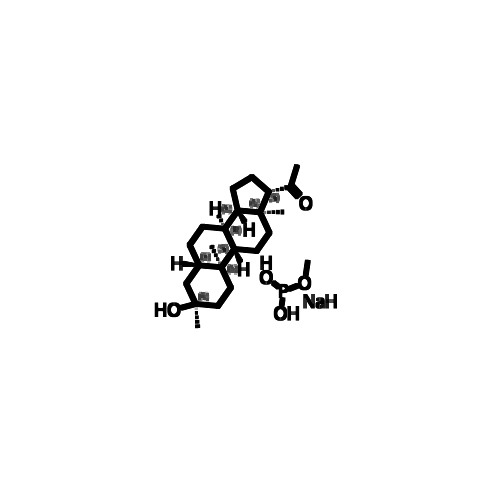 CC(=O)[C@H]1CC[C@H]2[C@@H]3CC[C@H]4C[C@](C)(O)CC[C@]4(C)[C@H]3CC[C@]12C.COP(O)O.[NaH]